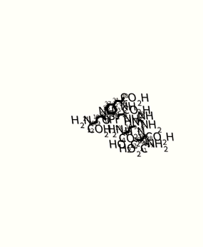 CC(C)CC(N)C(=O)O.N=C(N)NCCCC(N)C(=O)O.NC(=O)CCC(N)C(=O)O.NC(CCC(=O)O)C(=O)O.NC(Cc1ccccc1)C(=O)O.NCC(=O)O